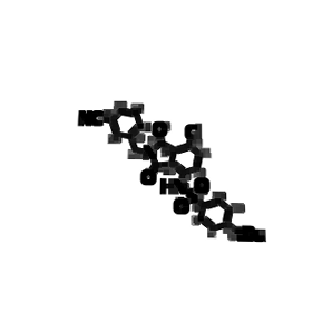 CC(C)(C)c1ccc(S(=O)(=O)Nc2ccc(Cl)c3c2C(=O)N(Cc2cccc(C#N)c2)C3=O)cc1